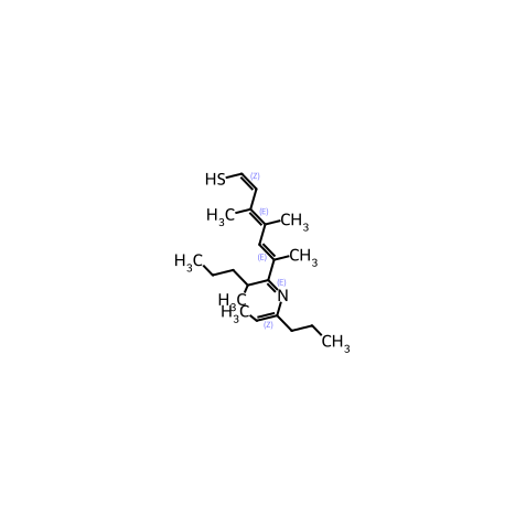 C\C=C(CCC)/N=C(/C(C)=C/C(C)=C(C)/C=C\S)C(C)CCC